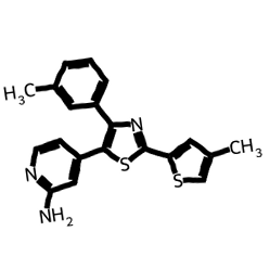 Cc1cccc(-c2nc(-c3cc(C)cs3)sc2-c2ccnc(N)c2)c1